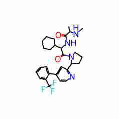 CNC(C)C(=O)NC(C(=O)N1CCCC1c1cc(-c2ccccc2C(F)(F)F)ccn1)C1CCCCC1